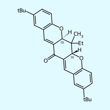 CCC1(C)[C@@H]2Oc3ccc(C(C)(C)C)cc3C=C2C(=O)C2=Cc3cc(C(C)(C)C)ccc3O[C@H]21